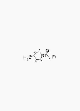 CC1CCN(C(=O)CF)CC1